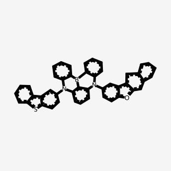 c1ccc2c(c1)B1c3ccccc3N(c3ccc4sc5ccccc5c4c3)c3cccc(c31)N2c1ccc2oc3cc4ccccc4cc3c2c1